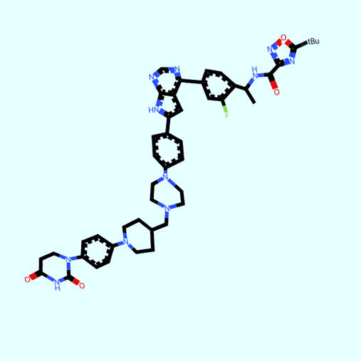 CC(NC(=O)c1noc(C(C)(C)C)n1)c1ccc(-c2ncnc3[nH]c(-c4ccc(N5CCN(CC6CCN(c7ccc(N8CCC(=O)NC8=O)cc7)CC6)CC5)cc4)cc23)cc1F